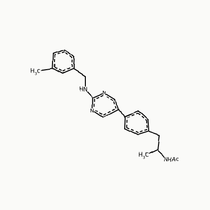 CC(=O)NC(C)Cc1ccc(-c2cnc(NCc3cccc(C)c3)nc2)cc1